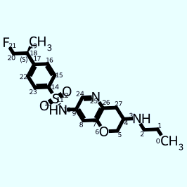 CCCNC1COc2cc(NS(=O)(=O)c3ccc([C@H](C)CF)cc3)cnc2C1